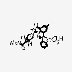 CNC(=O)C1[C@H]2CN(c3nc4c(C(C)Nc5ccccc5C(=O)O)cc(C)cc4c(=O)n3C)C[C@@H]12